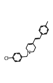 Cc1ccc(C=CC2=CCN(Cc3ccc(Cl)cc3)CC2)cc1